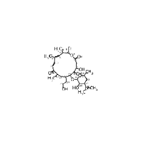 CCC1OC(=O)CC(O)C(C)C(OC2OC(C)CC(N(C)C)C2O)C(CCO)CC(C)C(=O)/C=C/C(C)=C/C1C